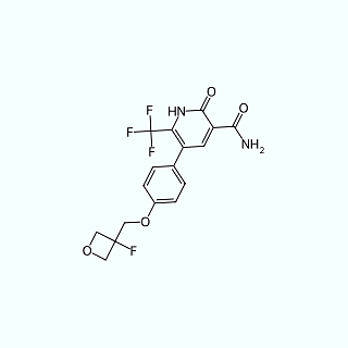 NC(=O)c1cc(-c2ccc(OCC3(F)COC3)cc2)c(C(F)(F)F)[nH]c1=O